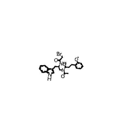 COc1ccccc1CCC(=O)N(CC(Cc1c[nH]c2ccccc12)NC(=O)CBr)C(C)=O